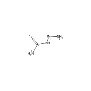 NNNC(N)=S